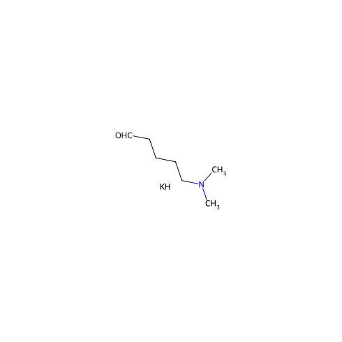 CN(C)CCCCC=O.[KH]